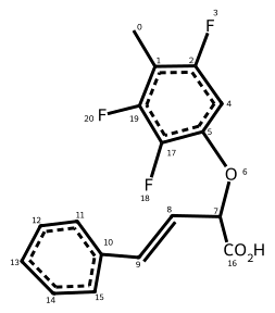 Cc1c(F)cc(OC(C=Cc2ccccc2)C(=O)O)c(F)c1F